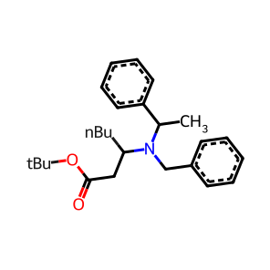 CCCCC(CC(=O)OC(C)(C)C)N(Cc1ccccc1)C(C)c1ccccc1